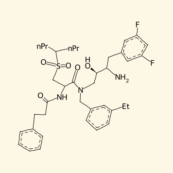 CCCC(CCC)S(=O)(=O)CC(NC(=O)CCc1ccccc1)C(=O)N(Cc1cccc(CC)c1)C[C@@H](O)C(N)Cc1cc(F)cc(F)c1